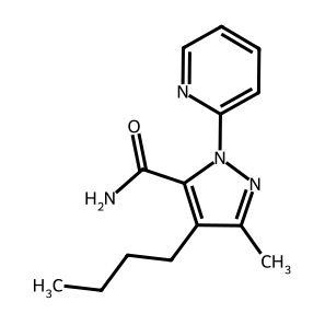 CCCCc1c(C)nn(-c2ccccn2)c1C(N)=O